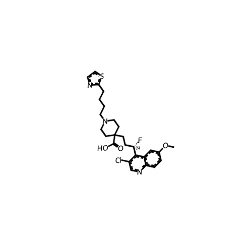 COc1ccc2ncc(Cl)c([C@@H](F)CCC3(C(=O)O)CCN(CCCCc4nccs4)CC3)c2c1